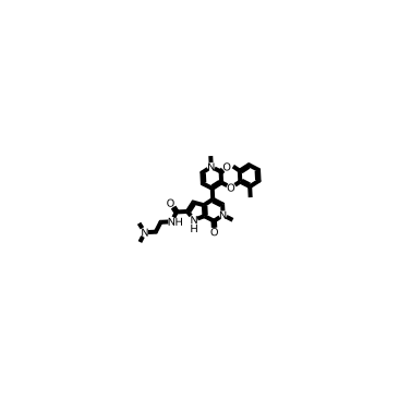 Cc1cccc(C)c1Oc1c(-c2cn(C)c(=O)c3[nH]c(C(=O)NCCN(C)C)cc23)ccn(C)c1=O